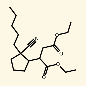 CCCCCC1(C#N)CCCC1C(CC(=O)OCC)C(=O)OCC